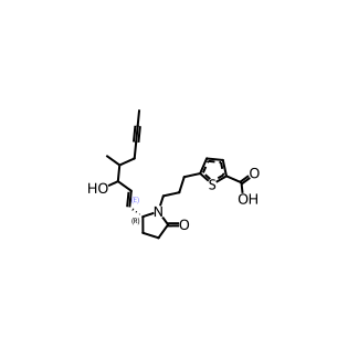 CC#CCC(C)C(O)/C=C/[C@H]1CCC(=O)N1CCCc1ccc(C(=O)O)s1